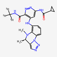 [2H]C([2H])([2H])NC(=O)c1nnc(NC(=O)C2CC2)cc1Nc1cccc2c1N(C)[C@H](C)c1cnnn1-2